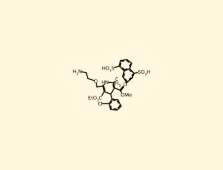 CCOC(=O)C1=C(COCCN)NC(C)=C(C(=O)OC)C1c1ccccc1Cl.O=S(=O)(O)c1cccc2c(S(=O)(=O)O)cccc12